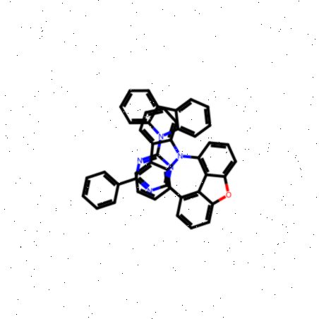 c1ccc(-c2nc(-c3cccc4oc5cccc(-n6c7ccccc7c7ccccc76)c5c34)nc(-n3c4ccccc4c4ccccc43)n2)cc1